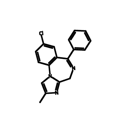 Cc1cn2c(n1)CN=C(c1ccccc1)c1cc(Cl)ccc1-2